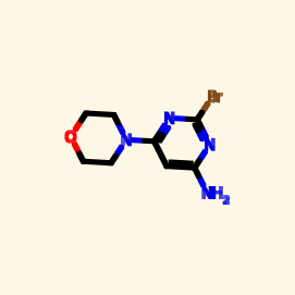 Nc1cc(N2CCOCC2)nc(Br)n1